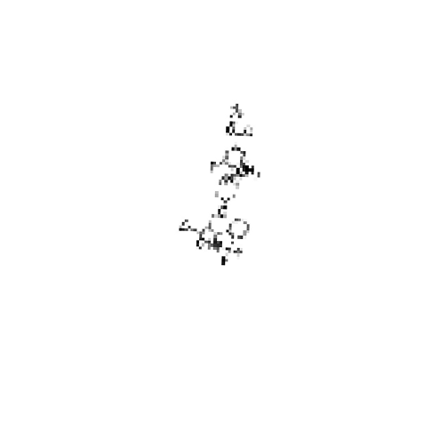 COC(=O)c1cc(F)c(N2C3CC(OCc4c(-c5ccccc5C(F)(F)F)noc4C4CC4)CC2[C@H](C)C3)c(F)c1